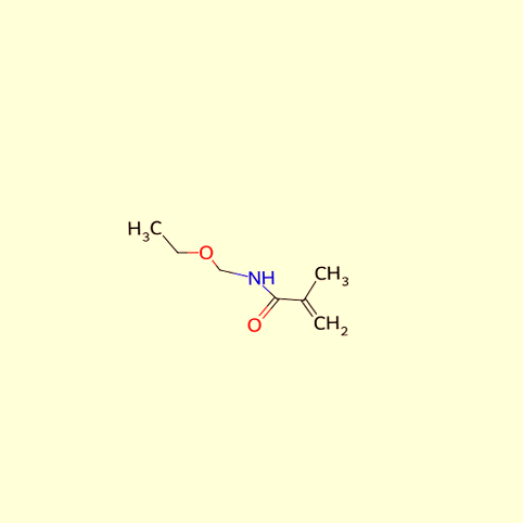 C=C(C)C(=O)NCOCC